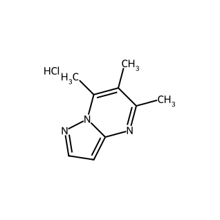 Cc1nc2ccnn2c(C)c1C.Cl